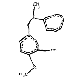 COc1ccc(CC(C)c2ccccc2)cc1O